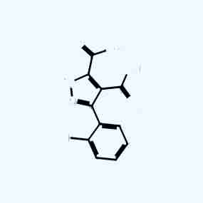 O=C(O)c1snc(-c2ccccc2Cl)c1C(=O)O